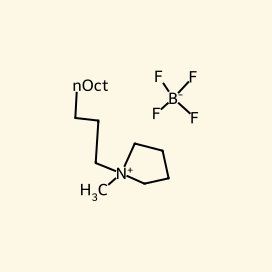 CCCCCCCCCCC[N+]1(C)CCCC1.F[B-](F)(F)F